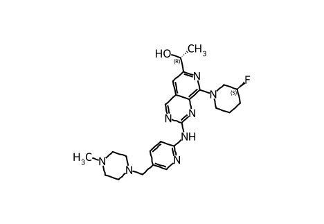 C[C@@H](O)c1cc2cnc(Nc3ccc(CN4CCN(C)CC4)cn3)nc2c(N2CCC[C@H](F)C2)n1